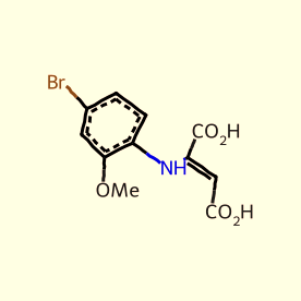 COc1cc(Br)ccc1N/C(=C\C(=O)O)C(=O)O